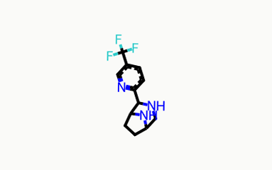 FC(F)(F)c1ccc(C2NCC3CCC2N3)nc1